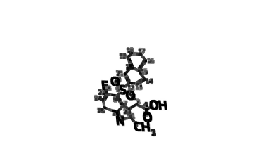 CC1=C(CC(=O)O)C2=C(S(=O)(=O)c3ccc4ccccc4c3)C(F)=CCC2=N1